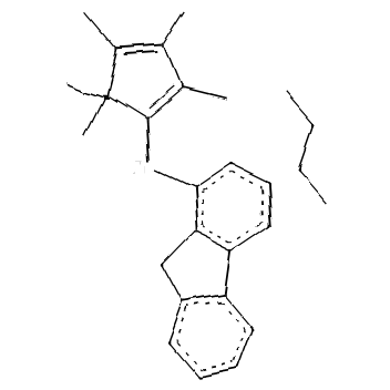 CC1=C(C)C(C)(C)[C]([Zr][c]2cccc3c2Cc2ccccc2-3)=C1C.CCCC